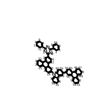 c1ccc(-c2nc(-c3ccccc3)nc(-c3ccc4c(c3)c3ccccc3c3ccc(-n5c6ccccc6c6cc(-c7ccc8c9ccccc9c9ccccc9c8c7)ccc65)cc34)n2)cc1